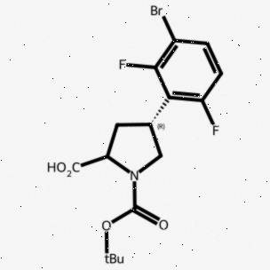 CC(C)(C)OC(=O)N1C[C@@H](c2c(F)ccc(Br)c2F)CC1C(=O)O